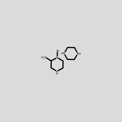 C1CNCCN1.CCN1CCNCC1N